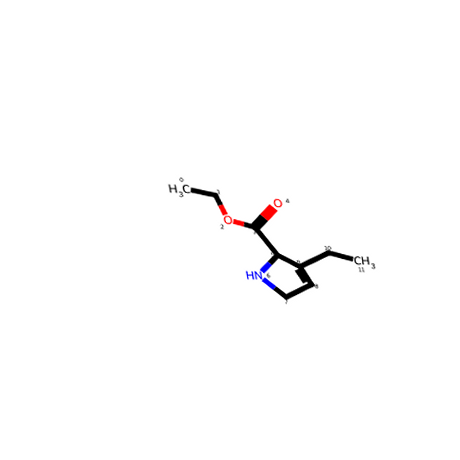 CCOC(=O)C1NCC=C1CC